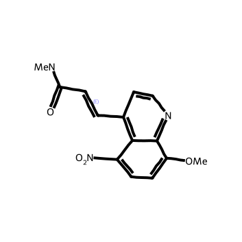 CNC(=O)/C=C/c1ccnc2c(OC)ccc([N+](=O)[O-])c12